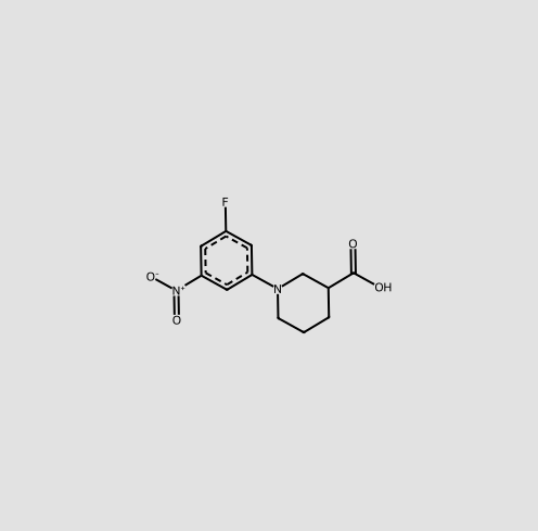 O=C(O)C1CCCN(c2cc(F)cc([N+](=O)[O-])c2)C1